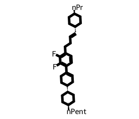 CCCCC[C@H]1CC[C@H](C2CC=C(c3ccc(CCC=C[C@H]4CC[C@H](CCC)CC4)c(F)c3F)CC2)CC1